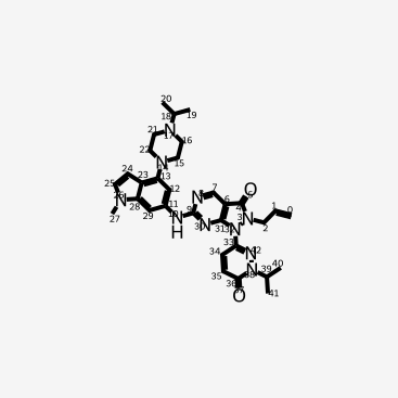 C=CCn1c(=O)c2cnc(Nc3cc(N4CCN(C(C)C)CC4)c4ccn(C)c4c3)nc2n1-c1ccc(=O)n(C(C)C)n1